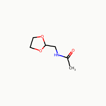 CC(=O)NCC1OCCO1